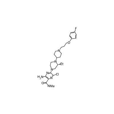 CC[C@H]1CN(c2nc(N)c(C(=O)NC)nc2Cl)CCN1C1CCN(CCCOc2ccc(F)cc2)CC1